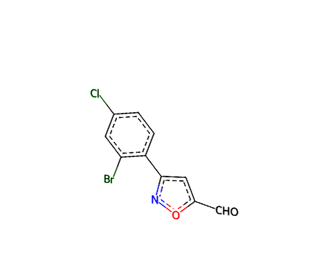 O=Cc1cc(-c2ccc(Cl)cc2Br)no1